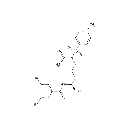 Cc1ccc(S(=O)(=O)N(CCC[C@H](NC(=O)N(CCO)CCC(C)C)C(=O)O)C(=N)N)cc1